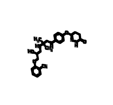 CC(C)(CNc1ccc(OC2=NNC(=O)CC2)cc1)NCC(O)COc1ccccc1C#N